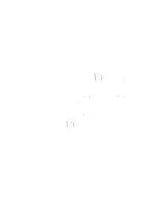 CC1CCC(C(C)C)C(c2ccc(C(C)c3ccccc3)cc2C2CC(C)CCC2C(C)C)C1